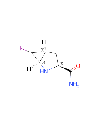 NC(=O)[C@@H]1C[C@@H]2C(I)[C@@H]2N1